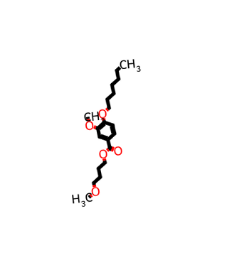 CCCCCCCOc1ccc(C(=O)OCCCCOC)cc1OC